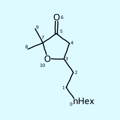 CCCCCCCCC1CC(=O)C(C)(C)O1